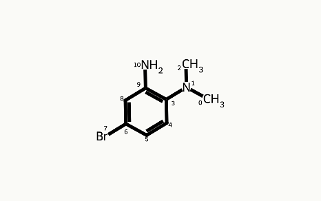 CN(C)c1ccc(Br)cc1N